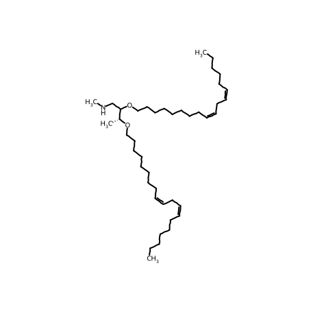 CCCCC/C=C\C/C=C\CCCCCCCCOC(CNC)[C@@H](C)OCCCCCCCC/C=C\C/C=C\CCCCCC